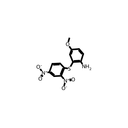 COc1ccc(N)c(Sc2ccc([N+](=O)[O-])cc2[N+](=O)[O-])c1